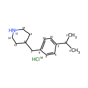 CC(C)c1ccc(CC2CCNCC2)cc1.Cl